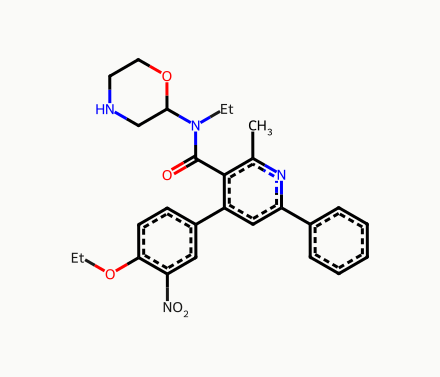 CCOc1ccc(-c2cc(-c3ccccc3)nc(C)c2C(=O)N(CC)C2CNCCO2)cc1[N+](=O)[O-]